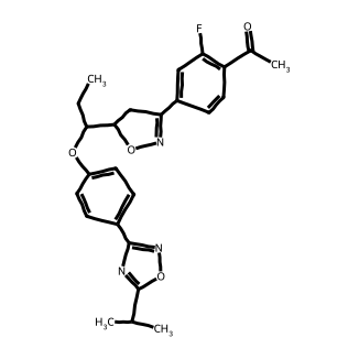 CCC(Oc1ccc(-c2noc(C(C)C)n2)cc1)C1CC(c2ccc(C(C)=O)c(F)c2)=NO1